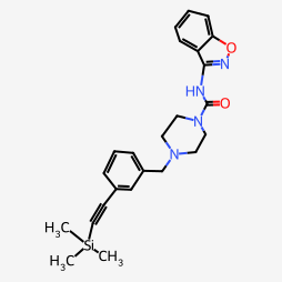 C[Si](C)(C)C#Cc1cccc(CN2CCN(C(=O)Nc3noc4ccccc34)CC2)c1